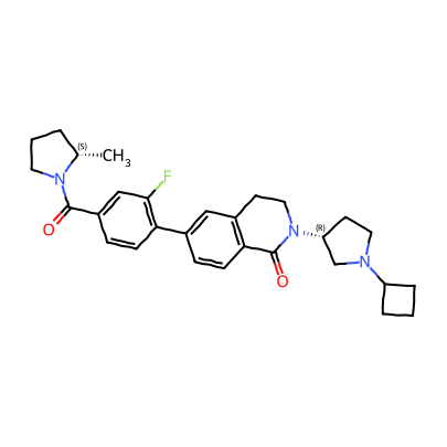 C[C@H]1CCCN1C(=O)c1ccc(-c2ccc3c(c2)CCN([C@@H]2CCN(C4CCC4)C2)C3=O)c(F)c1